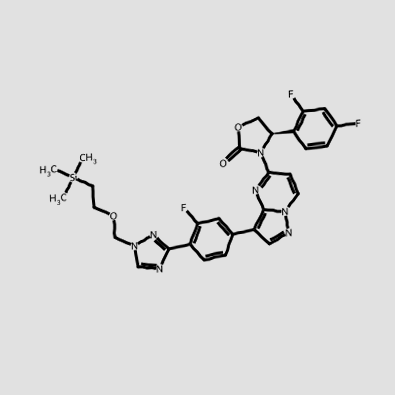 C[Si](C)(C)CCOCn1cnc(-c2ccc(-c3cnn4ccc(N5C(=O)OC[C@H]5c5ccc(F)cc5F)nc34)cc2F)n1